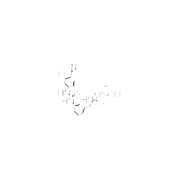 CC[C@H](CO)OC(=O)N[C@@H](C)c1cccc(NC(=O)Nc2ccc(C#N)c(OC)c2)c1